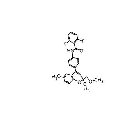 COCC1(C)C=C(c2ccc(NC(=O)c3c(F)cccc3F)cc2)c2cc(C)ccc2O1